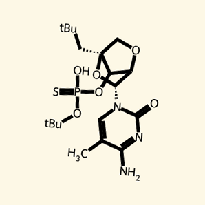 Cc1cn([C@@H]2O[C@@]3(CC(C)(C)C)COC2C3OP(O)(=S)OC(C)(C)C)c(=O)nc1N